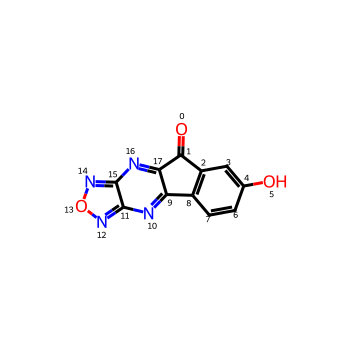 O=C1c2cc(O)ccc2-c2nc3nonc3nc21